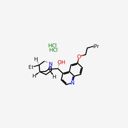 CC[C@H]1C[N@]2CC[C@H]1C[C@H]2[C@H](O)c1ccnc2ccc(OCCC(C)C)cc12.Cl.Cl